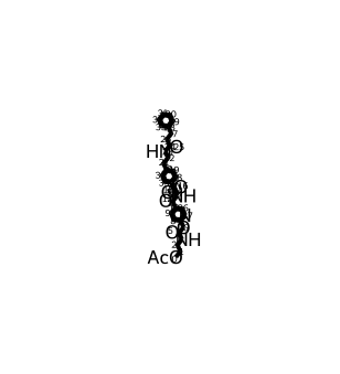 CC(=O)OCCNC(=O)Oc1ccc(C(=O)NS(=O)(=O)c2ccc(CCNC(=O)CCc3ccccc3)cc2)cn1